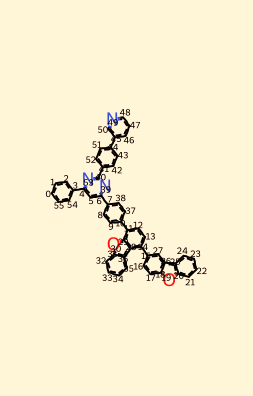 c1ccc(-c2cc(-c3ccc(-c4ccc(-c5ccc6oc7ccccc7c6c5)c5c4oc4ccccc45)cc3)nc(-c3ccc(-c4cccnc4)cc3)n2)cc1